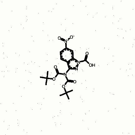 CC(C)(C)OC(=O)N(C(=O)OC(C)(C)C)c1nn(C(=O)O)c2cc([N+](=O)[O-])ccc12